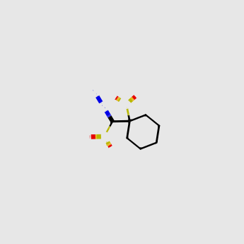 [N-]=[N+]=C([SH](=O)=O)C1([SH](=O)=O)CCCCC1